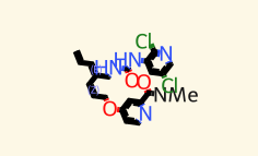 C=C/C=C(\C=C/COc1ccnc(C(=O)NC)c1)CNC(=O)Nc1cc(Cl)cnc1Cl